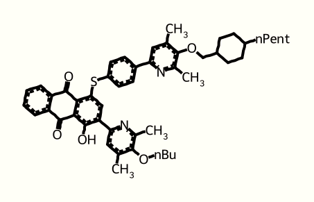 CCCCCC1CCC(COc2c(C)cc(-c3ccc(Sc4cc(-c5cc(C)c(OCCCC)c(C)n5)c(O)c5c4C(=O)c4ccccc4C5=O)cc3)nc2C)CC1